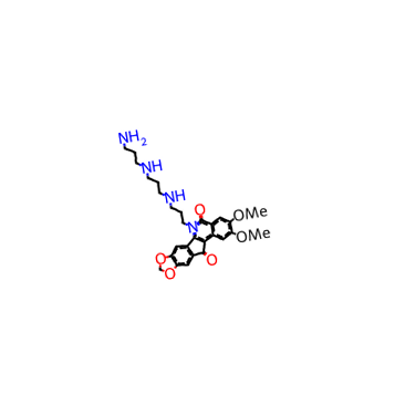 COc1cc2c3c(n(CCCNCCCNCCCN)c(=O)c2cc1OC)-c1cc2c(cc1C3=O)OCO2